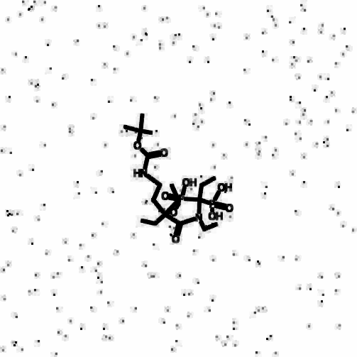 CCN(C(=O)C(CC)(CC)CCNC(=O)OC(C)(C)C)C(CC)(P(=O)(O)O)P(=O)(O)O